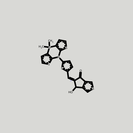 C[Si]1(C)c2ccsc2N(c2ccc(/C=C3\C(=O)c4cscc4C3O)s2)c2sccc21